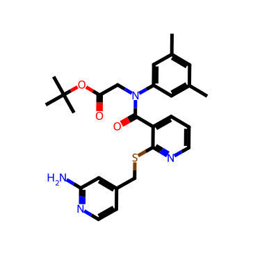 Cc1cc(C)cc(N(CC(=O)OC(C)(C)C)C(=O)c2cccnc2SCc2ccnc(N)c2)c1